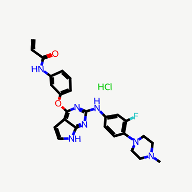 C=CC(=O)Nc1cccc(Oc2nc(Nc3ccc(N4CCN(C)CC4)c(F)c3)nc3[nH]ccc23)c1.Cl